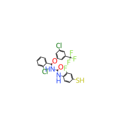 FC(F)(F)c1cccc(Cl)c1.O=C(NC(=O)c1ccccc1Cl)Nc1ccc(S)cc1F